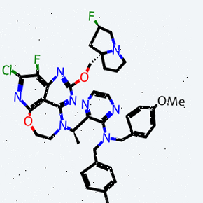 COc1ccc(CN(Cc2ccc(OC)cc2)c2nccnc2[C@@H](C)N2CCOc3nc(Cl)c(F)c4nc(OC[C@@]56CCCN5C[C@H](F)C6)nc2c34)cc1